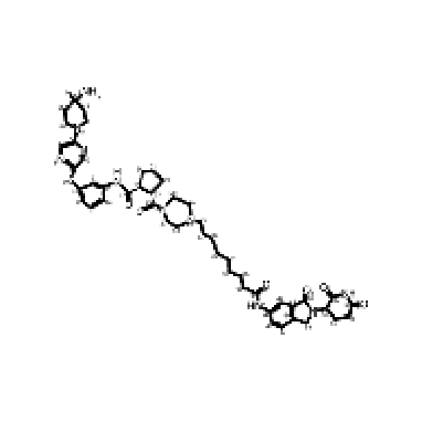 CC1(N)CCN(c2cnc(Sc3cccc(NC(=O)[C@H]4CCC[C@@H]4C(=O)N4CCN(CCCCCCCCC(=O)Nc5ccc6c(c5)C(=O)N(C5CCC(=O)NC5=O)C6)CC4)c3)cn2)CC1